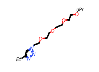 CCCOCCOCCOCCOCCn1cc(CC)nn1